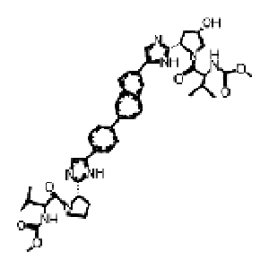 COC(=O)N[C@H](C(=O)N1CCC[C@H]1c1ncc(-c2ccc(-c3ccc4cc(-c5cnc([C@@H]6C[C@@H](O)CN6C(=O)[C@@H](NC(=O)OC)C(C)C)[nH]5)ccc4c3)cc2)[nH]1)C(C)C